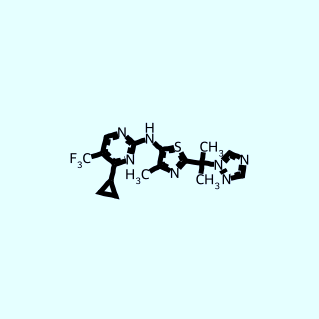 Cc1nc(C(C)(C)n2cncn2)sc1Nc1ncc(C(F)(F)F)c(C2CC2)n1